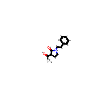 O=C1C(C(=O)C(F)(F)F)CCN1CCc1ccccc1